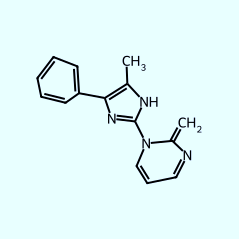 C=C1N=CC=CN1c1nc(-c2ccccc2)c(C)[nH]1